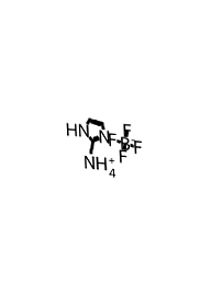 Cc1ncc[nH]1.F[B-](F)(F)F.[NH4+]